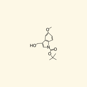 COc1ccc2c(c1)c(CO)cn2C(=O)OC(C)(C)C